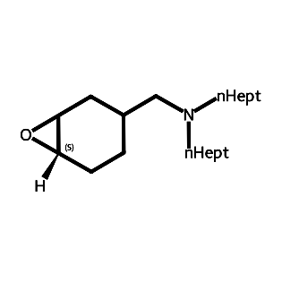 CCCCCCCN(CCCCCCC)CC1CC[C@@H]2OC2C1